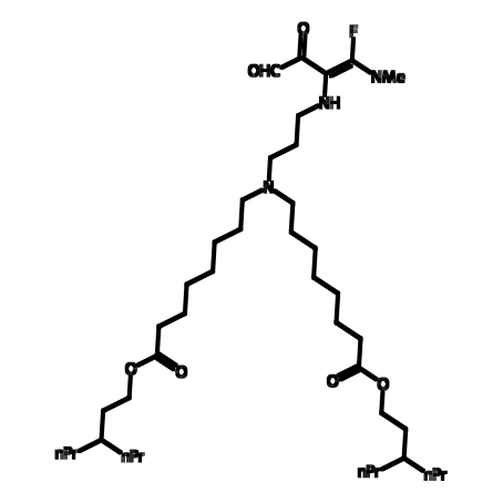 CCCC(CCC)CCOC(=O)CCCCCCCN(CCCCCCCC(=O)OCCC(CCC)CCC)CCCN/C(C(=O)C=O)=C(/F)NC